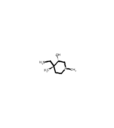 CN1CC[C@](C)(CN)[C@H](O)C1